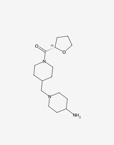 NC1CCN(CC2CCN(C(=O)[C@@H]3CCCO3)CC2)CC1